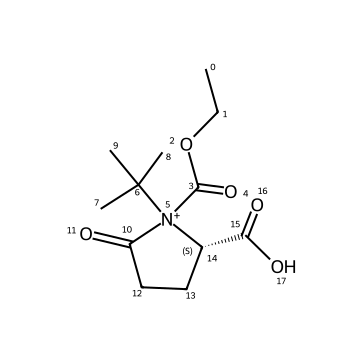 CCOC(=O)[N+]1(C(C)(C)C)C(=O)CC[C@H]1C(=O)O